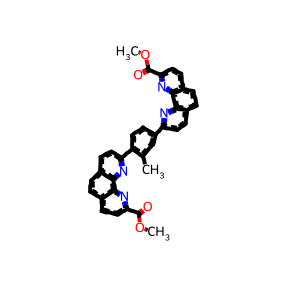 COC(=O)c1ccc2ccc3ccc(-c4ccc(-c5ccc6ccc7ccc(C(=O)OC)nc7c6n5)c(C)c4)nc3c2n1